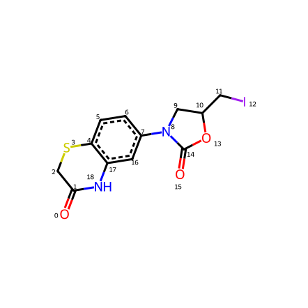 O=C1CSc2ccc(N3CC(CI)OC3=O)cc2N1